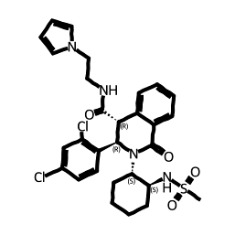 CS(=O)(=O)N[C@H]1CCCC[C@@H]1N1C(=O)c2ccccc2[C@@H](C(=O)NCCn2cccc2)[C@@H]1c1ccc(Cl)cc1Cl